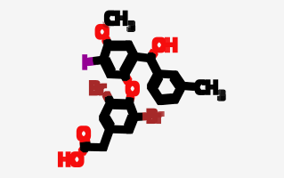 COc1cc(C(O)c2cccc(C)c2)c(Oc2c(Br)cc(CC(=O)O)cc2Br)cc1I